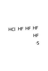 Cl.F.F.F.F.[S]